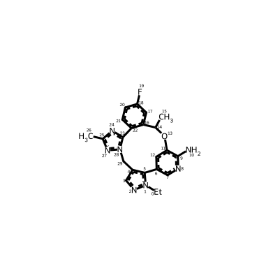 CCn1ncc2c1-c1cnc(N)c(c1)OC(C)c1cc(F)ccc1-c1nc(C)nn1C2